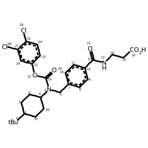 CC(C)(C)C1CCC(N(Cc2ccc(C(=O)NCCC(=O)O)cc2)C(=O)Oc2ccc(Cl)c(Cl)c2)CC1